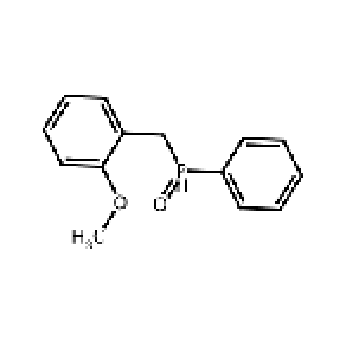 COc1ccccc1C[PH](=O)c1ccccc1